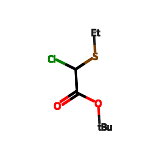 CCSC(Cl)C(=O)OC(C)(C)C